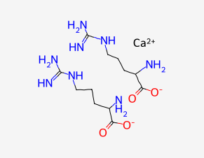 N=C(N)NCCCC(N)C(=O)[O-].N=C(N)NCCCC(N)C(=O)[O-].[Ca+2]